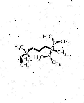 C=C[Si](C)(C)CCC[Si](C)(N(C)C)N(C)C